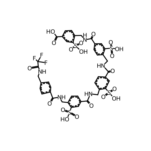 O=C(O)c1ccc(CNC(=O)c2ccc(CNC(=O)c3ccc(CNC(=O)c4ccc(CNC(=O)c5ccc(CNC(=O)C(F)(F)F)cc5)c(S(=O)(=O)O)c4)c(S(=O)(=O)O)c3)c(S(=O)(=O)O)c2)c(S(=O)(=O)O)c1